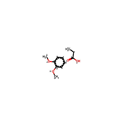 CCC(=O)O.COc1ccccc1OC